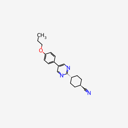 CCCOc1ccc(-c2cnc([C@H]3CC[C@H](C#N)CC3)nc2)cc1